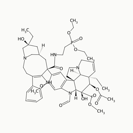 CCOP(=O)(CCNC(=O)[C@]1(c2cc3c(cc2OC)N(C=O)[C@H]2[C@@](O)(C(=O)OC)[C@H](OC(C)=O)[C@]4(CC)C=CCN5CC[C@]32[C@@H]54)C[C@H]2CN(CCc3c1[nH]c1ccccc31)C[C@](O)(CC)C2)OCC